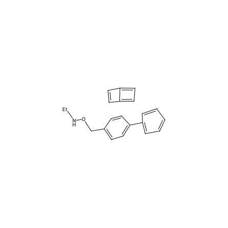 CCNOCc1ccc(-c2ccccc2)cc1.c1cc2ccc1-2